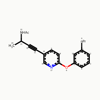 CCCc1cccc(Oc2ccc(C#CC(C)NC(C)=O)cn2)c1